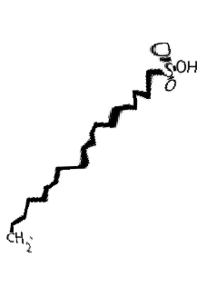 [CH2]CCCCCCCCCCCCCCCCCS(=O)(=O)O